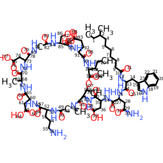 CCC(C)CCCCCCC(=O)NC(Cc1c[nH]c2ccccc12)C(=O)NC(CC(N)=O)C(=O)NC(CC(=O)O)C(=O)NC1C(=O)N(C)CC(=O)NC(CCCN)C(=O)NC(CC(=O)O)C(=O)NC(C)C(=O)NC(CC(=O)O)C(=O)NCC(=O)NC(CO)C(=O)NC(CCC(=O)O)C(=O)NC(C(C)CC)C(=O)OC1C